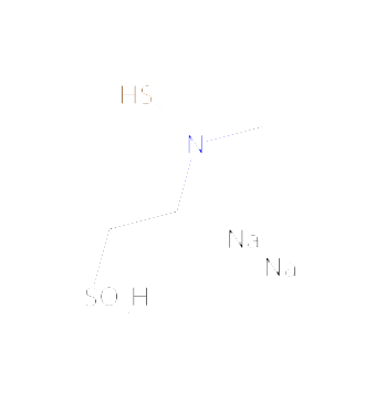 CN(S)CCS(=O)(=O)O.[Na].[Na]